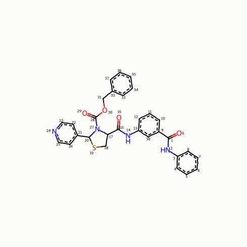 O=C(Nc1ccccc1)c1cccc(NC(=O)C2CSC(c3ccncc3)N2C(=O)OCc2ccccc2)c1